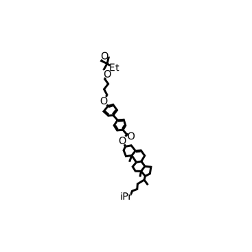 CCC1(COCCCCOc2ccc(-c3ccc(C(=O)OC4CCC5(C)C(=CCC6C5CCC5(C)C(C(C)CCCC(C)C)CCC65)C4)cc3)cc2)COC1